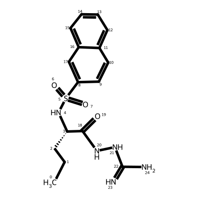 CCC[C@H](NS(=O)(=O)c1ccc2ccccc2c1)C(=O)NNC(=N)N